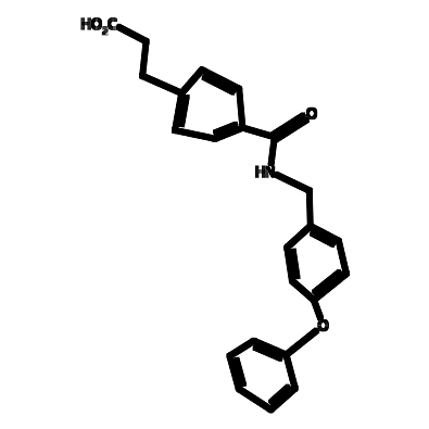 O=C(O)CCc1ccc(C(=O)NCc2ccc(Oc3ccccc3)cc2)cc1